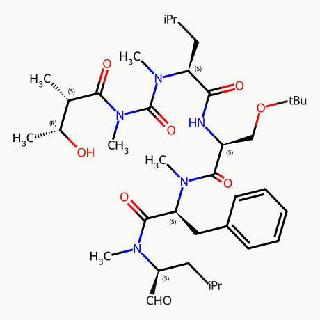 CC(C)C[C@@H](C=O)N(C)C(=O)[C@H](Cc1ccccc1)N(C)C(=O)[C@H](COC(C)(C)C)NC(=O)[C@H](CC(C)C)N(C)C(=O)N(C)C(=O)[C@@H](C)[C@@H](C)O